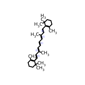 CC1=C(/C=C/C(C)=C/C=C/C=C(C)/C=C/C2=C(C)CCCC2(C)C)C(C)(C)CCC1